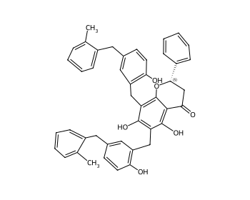 Cc1ccccc1Cc1ccc(O)c(Cc2c(O)c(Cc3cc(Cc4ccccc4C)ccc3O)c3c(c2O)C(=O)C[C@@H](c2ccccc2)O3)c1